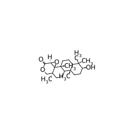 CC1(C)C2CC[C@]3(C)C(CC[C@@]4(C)COC(=O)[C@H]5O[C@]543)[C@@]2(C)CC[C@@H]1O